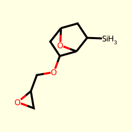 [SiH3]C1CC2CC(OCC3CO3)C1O2